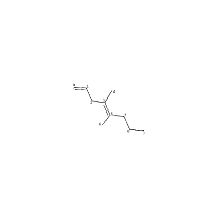 C=CC/C(C)=C(\C)CCC